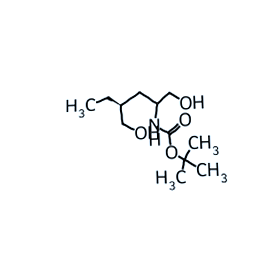 CC[C@H](CO)CC(CO)NC(=O)OC(C)(C)C